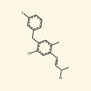 CCN(C)C=Nc1cc(Cl)c(Cc2cccc(F)c2)cc1C